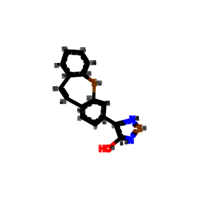 Oc1nsnc1-c1ccc2c(c1)Sc1ccccc1C=C2